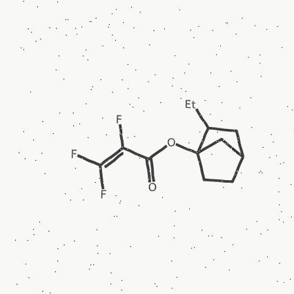 CCC1CC2CCC1(OC(=O)C(F)=C(F)F)C2